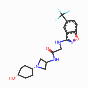 O=C(CNc1noc2ccc(C(F)(F)F)cc12)NC1CN([C@H]2CC[C@@H](O)CC2)C1